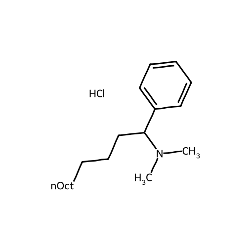 CCCCCCCCCCCC(c1ccccc1)N(C)C.Cl